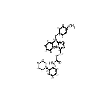 Cc1ccc(Cn2c3ccccc3n3c(SCC(=O)Nc4ccccc4N4CCCCC4)nnc23)cc1